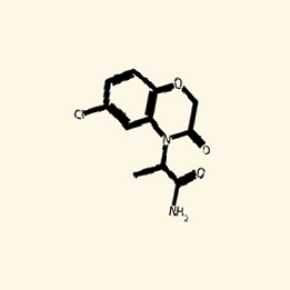 CC(C(N)=O)N1C(=O)COc2ccc(Cl)cc21